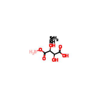 BOC(=O)C(O)C(O)C(=O)O.[KH].[SrH2]